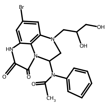 CC(=O)N(c1ccccc1)C1CN(CC(O)CO)c2cc(Br)cc3[nH]c(=O)c(=O)n1c23